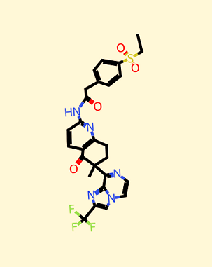 CCS(=O)(=O)c1ccc(CC(=O)Nc2ccc3c(n2)CCC(C)(c2nccn4cc(C(F)(F)F)nc24)C3=O)cc1